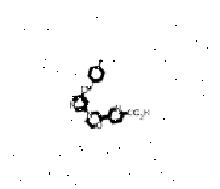 C[C@H]1CC[C@H](COc2cncc(N3CCOC(c4ccc(C(=O)O)nc4)C3)c2)CC1